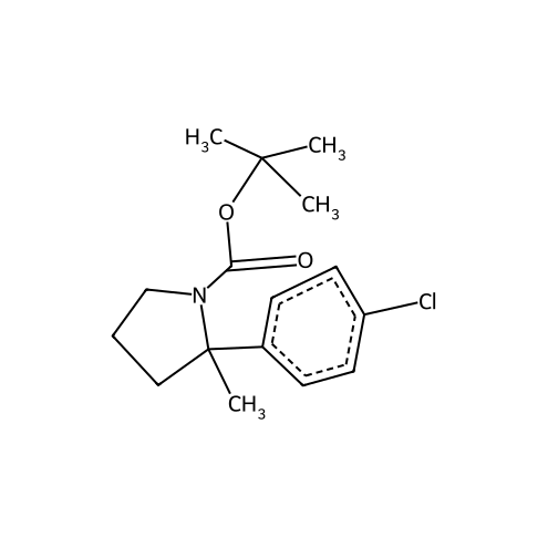 CC(C)(C)OC(=O)N1CCCC1(C)c1ccc(Cl)cc1